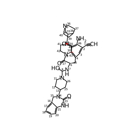 C#Cc1cc(C[C@@H](NC(O)N2CCC(N3Cc4ccccc4NC3=O)CC2)C(=O)N2CCN(C3CN4CCC3CC4)CC2)cc(Cl)c1N